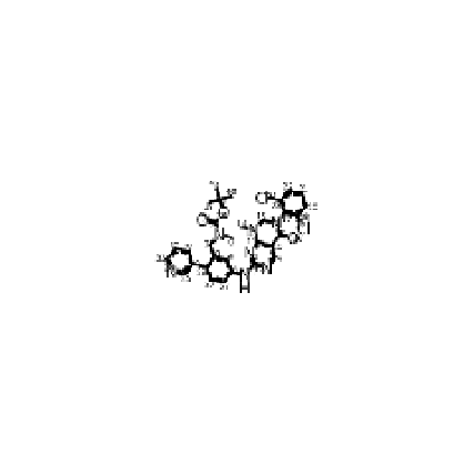 CN(Cc1cc(Nc2ncc3c(n2)N(C)CN(c2c(Cl)cccc2Cl)C3=O)ccc1-c1cccnc1)C(=O)OC(C)(C)C